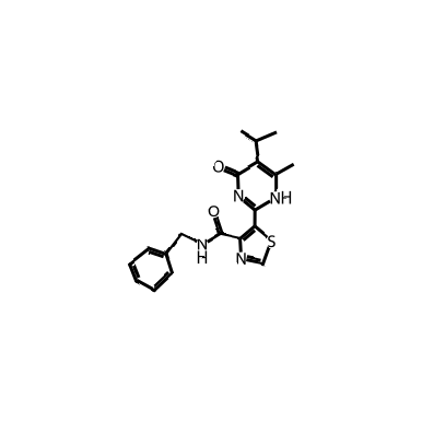 Cc1[nH]c(-c2scnc2C(=O)NCc2ccccc2)nc(=O)c1C(C)C